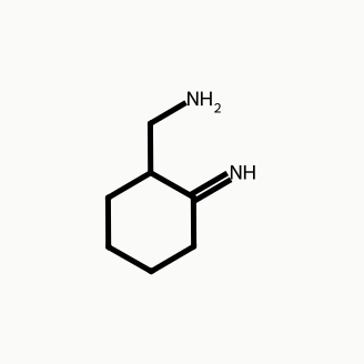 N=C1CCCCC1CN